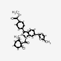 COC(=O)c1ccc(-c2nn(C(=O)c3c(C)cccc3Cl)c3cc(-c4ncc(C)o4)ccc23)cc1